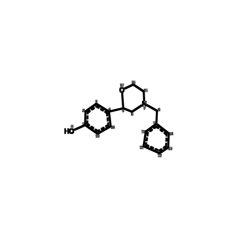 Oc1ccc(C2CN(Cc3ccccc3)CCO2)cc1